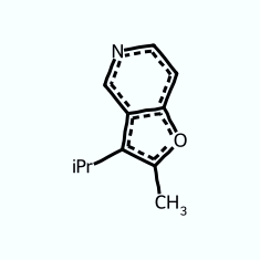 Cc1oc2ccncc2c1C(C)C